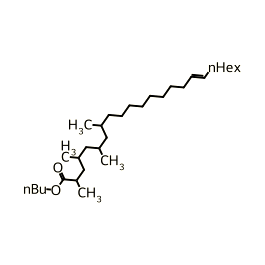 CCCCCC/C=C/CCCCCCCCC(C)CC(C)CC(C)CC(C)C(=O)OCCCC